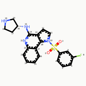 O=S(=O)(c1cccc(F)c1)n1ccc2c(N[C@@H]3CCNC3)nc3ccccc3c21